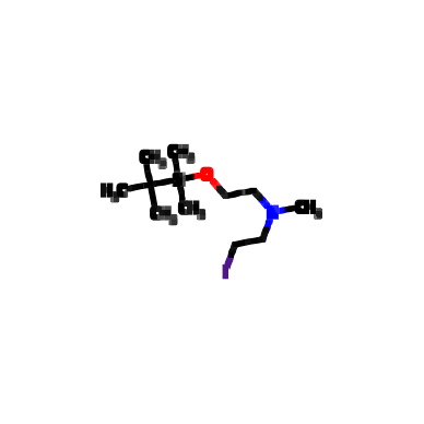 CN(CCI)CCO[Si](C)(C)C(C)(C)C